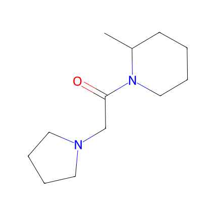 CC1CCCCN1C(=O)CN1CCCC1